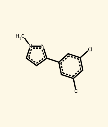 Cn1[c]cc(-c2cc(Cl)cc(Cl)c2)n1